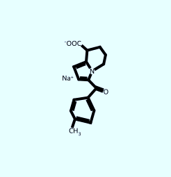 Cc1ccc(C(=O)c2ccc3n2CCCC3C(=O)[O-])cc1.[Na+]